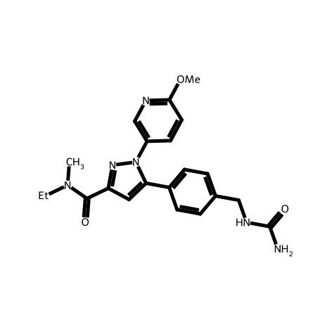 CCN(C)C(=O)c1cc(-c2ccc(CNC(N)=O)cc2)n(-c2ccc(OC)nc2)n1